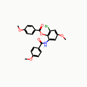 COc1ccc(C(=O)Nc2cc(OC)cc(Br)c2OC(=O)c2ccc(OC)cc2)cc1